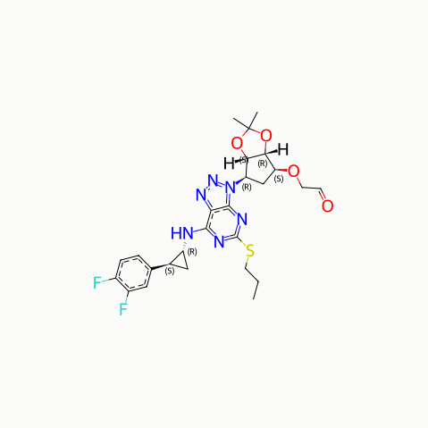 CCCSc1nc(N[C@@H]2C[C@H]2c2ccc(F)c(F)c2)c2nnn([C@@H]3C[C@H](OCC=O)[C@H]4OC(C)(C)O[C@H]43)c2n1